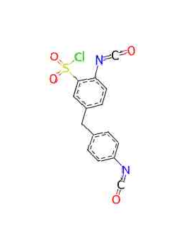 O=C=Nc1ccc(Cc2ccc(N=C=O)c(S(=O)(=O)Cl)c2)cc1